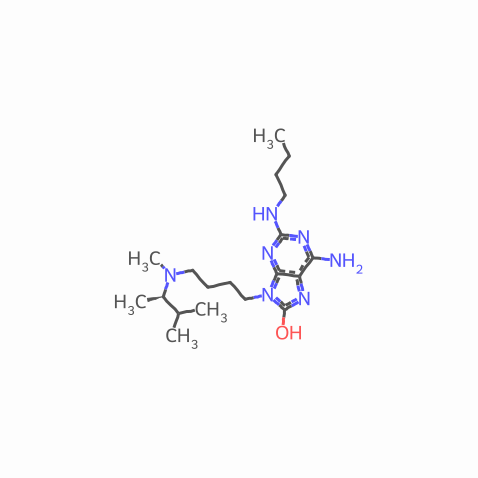 CCCCNc1nc(N)c2nc(O)n(CCCCN(C)[C@H](C)C(C)C)c2n1